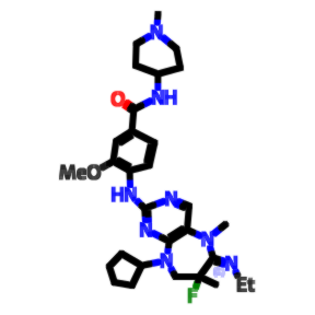 CC/N=C1/N(C)c2cnc(Nc3ccc(C(=O)NC4CCN(C)CC4)cc3OC)nc2N(C2CCCC2)CC1(C)F